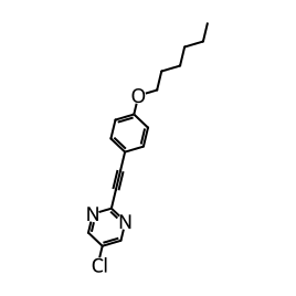 CCCCCCOc1ccc(C#Cc2ncc(Cl)cn2)cc1